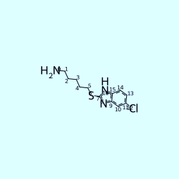 NCCCCCSc1nc2cc(Cl)ccc2[nH]1